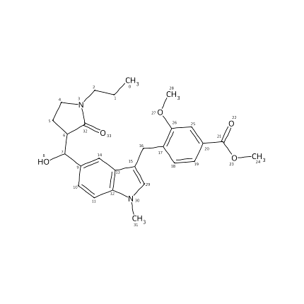 CCCN1CCC(C(O)c2ccc3c(c2)c(Cc2ccc(C(=O)OC)cc2OC)cn3C)C1=O